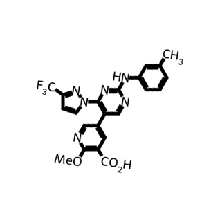 COc1ncc(-c2cnc(Nc3cccc(C)c3)nc2-n2ccc(C(F)(F)F)n2)cc1C(=O)O